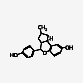 CC1CC2C(c3ccc(O)cc3)Oc3ccc(O)cc3[C@@H]2C1